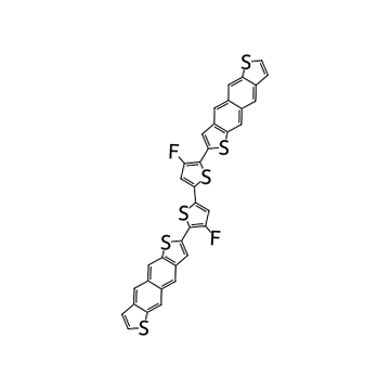 Fc1cc(-c2cc(F)c(-c3cc4cc5cc6sccc6cc5cc4s3)s2)sc1-c1cc2cc3cc4sccc4cc3cc2s1